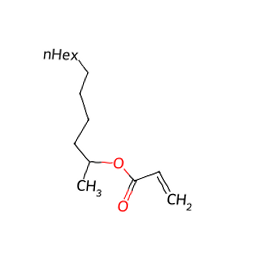 C=CC(=O)OC(C)CCCCCCCCCC